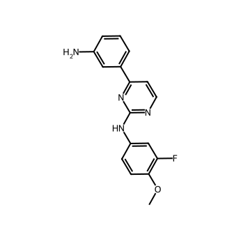 COc1ccc(Nc2nccc(-c3cccc(N)c3)n2)cc1F